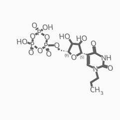 CCCn1cc([C@@H]2O[C@H](COP3(=O)OP(=O)(O)OP(=O)(O)O3)C(O)C2O)c(=O)[nH]c1=O